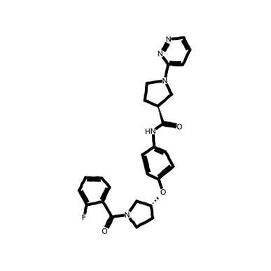 O=C(Nc1ccc(O[C@@H]2CCN(C(=O)c3ccccc3F)C2)cc1)[C@H]1CCN(c2cccnn2)C1